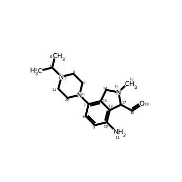 CC(C)N1CCN(c2ccc(N)c3c2CN(C)C3C=O)CC1